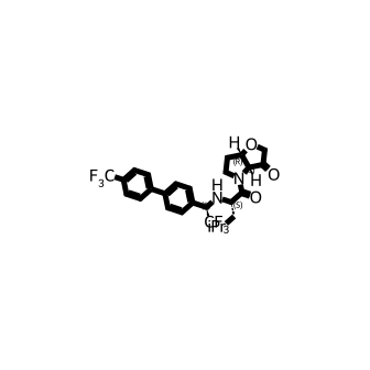 CC(C)C[C@H](N[C@@H](c1ccc(-c2ccc(C(F)(F)F)cc2)cc1)C(F)(F)F)C(=O)N1CC[C@H]2OCC(=O)[C@H]21